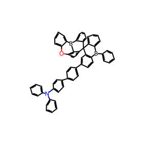 c1ccc(B2c3ccccc3C3(c4cc(-c5ccc(-c6ccc(N(c7ccccc7)c7ccccc7)cc6)cc5)ccc42)c2ccccc2B2c4ccccc4Oc4cccc3c42)cc1